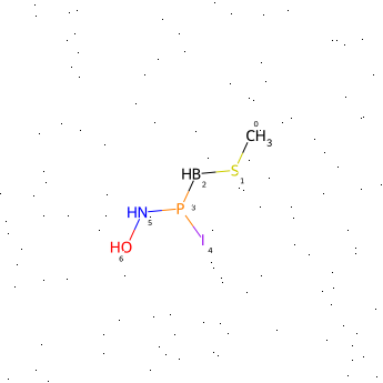 CSBP(I)NO